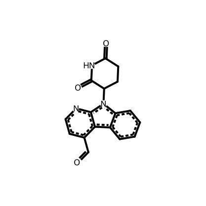 O=Cc1ccnc2c1c1ccccc1n2C1CCC(=O)NC1=O